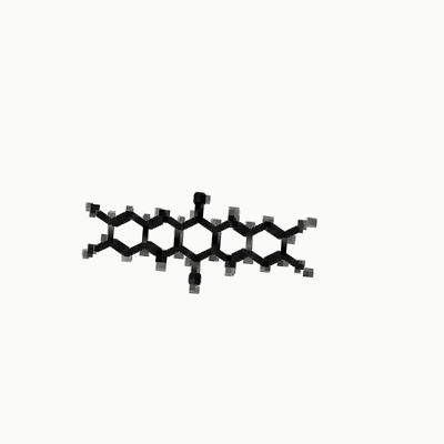 O=C1c2nc3cc(F)c(F)cc3nc2C(=O)c2nc3cc(F)c(F)cc3nc21